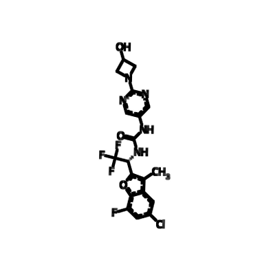 Cc1c([C@@H](NC(=O)Nc2cnc(N3CC(O)C3)nc2)C(F)(F)F)oc2c(F)cc(Cl)cc12